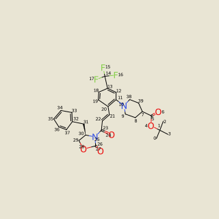 CC(C)(C)OC(=O)C1CCN(c2cc(C(F)(F)F)ccc2/C=C/C(=O)N2C(=O)OC[C@H]2Cc2ccccc2)CC1